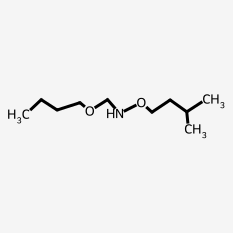 CCCCOCNOCCC(C)C